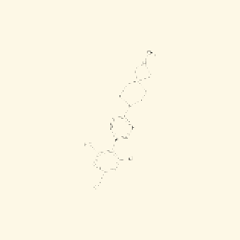 CN1CC2(CCN(c3ccc(-c4c(O)cc(Cl)cc4Cl)nn3)CC2)C1